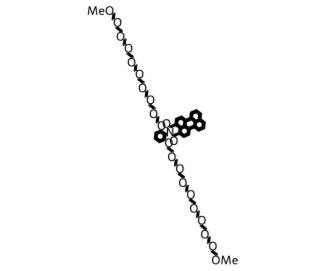 COCCOCCOCCOCCOCCOCCOCCOCCOCCOc1cccc(OCCOCCOCCOCCOCCOCCOCCOCCOCCOC)c1N1C(=O)c2ccc3c4cccc5cccc(c6ccc(c2c36)C1=O)c54